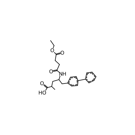 CCOC(=O)CCC(=O)NC(Cc1ccc(-c2ccccc2)cc1)CC(C)C(=O)O